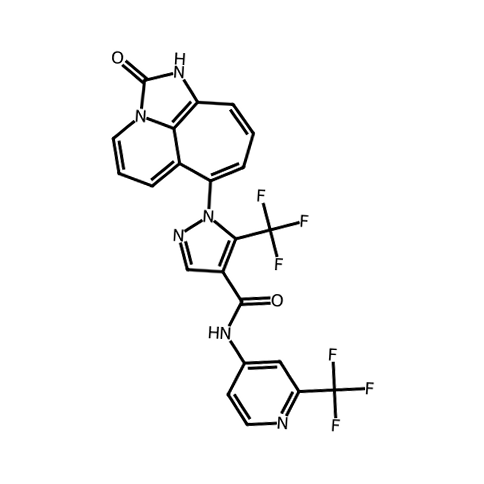 O=C(Nc1ccnc(C(F)(F)F)c1)c1cnn(C2=CC=Cc3[nH]c(=O)n4cccc2c34)c1C(F)(F)F